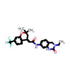 CCN1Cc2ccc(NC(=O)/C=C3\CC(C)(C)Oc4cc(C(F)(F)F)ccc43)cc2NC1=O